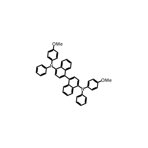 COc1ccc(N(c2ccccc2)c2ccc(-c3ccc(N(c4ccccc4)c4ccc(OC)cc4)c4ccccc34)c3ccccc23)cc1